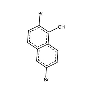 Oc1c(Br)ccc2cc(Br)ccc12